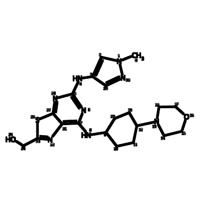 Cn1cc(Nc2nc(NC3CCC(N4CCOCC4)CC3)c3nc(CO)sc3n2)cn1